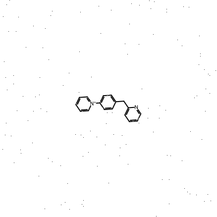 c1cc[n+](-c2ccc(Cc3ccccn3)cc2)cc1